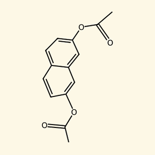 CC(=O)Oc1ccc2ccc(OC(C)=O)cc2c1